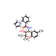 CC1(C)Oc2ccc(C#N)cc2C(NC(=O)c2ccccc2-n2cccc2)C1O